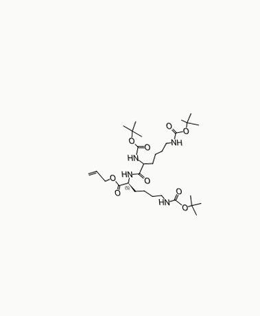 C=CCOC(=O)[C@H](CCCCNC(=O)OC(C)(C)C)NC(=O)C(CCCCNC(=O)OC(C)(C)C)NC(=O)OC(C)(C)C